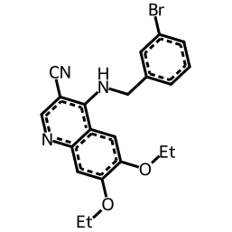 CCOc1cc2ncc(C#N)c(NCc3cccc(Br)c3)c2cc1OCC